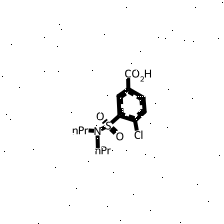 CCCN(CCC)S(=O)(=O)c1cc(C(=O)O)ccc1Cl